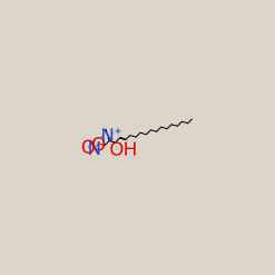 CCCCCCCCCCCCCC=C[C@H](O)C(CON=O)[N+](C)(C)C